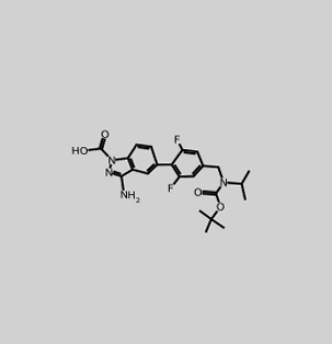 CC(C)N(Cc1cc(F)c(-c2ccc3c(c2)c(N)nn3C(=O)O)c(F)c1)C(=O)OC(C)(C)C